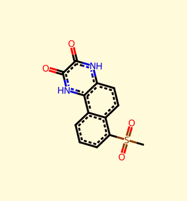 CS(=O)(=O)c1cccc2c1ccc1[nH]c(=O)c(=O)[nH]c12